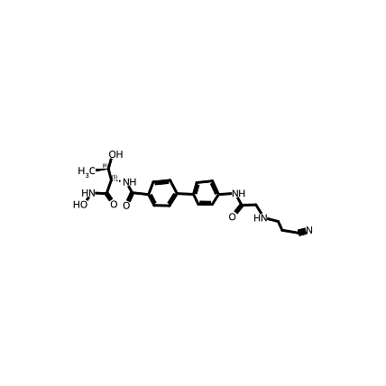 C[C@@H](O)[C@H](NC(=O)c1ccc(-c2ccc(NC(=O)CNCCC#N)cc2)cc1)C(=O)NO